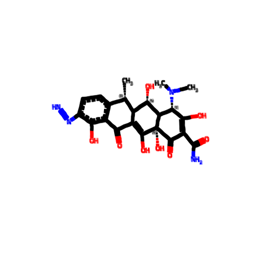 C[C@H]1c2ccc(N=N)c(O)c2C(=O)C2=C(O)[C@]3(O)C(=O)C(C(N)=O)=C(O)[C@@H](N(C)C)C3[C@@H](O)C21